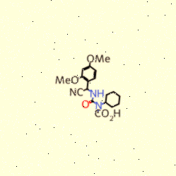 COc1ccc(C(C#N)NC(=O)N(C(=O)O)C2CCCCC2)c(OC)c1